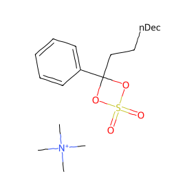 CCCCCCCCCCCCC1(c2ccccc2)OS(=O)(=O)O1.C[N+](C)(C)C